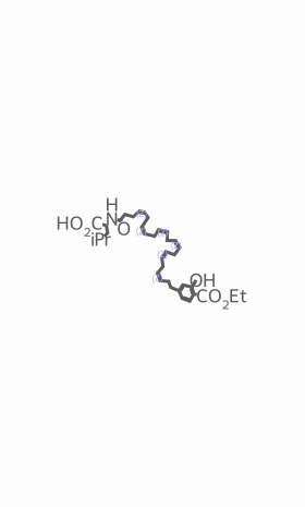 CCOC(=O)c1ccc(CC/C=C\C/C=C\C/C=C\C/C=C\C/C=C\C/C=C\CCC(=O)NC(CC(C)C)C(=O)O)cc1O